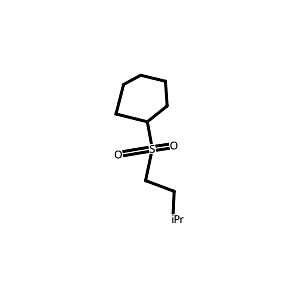 CC(C)CCS(=O)(=O)C1CCCCC1